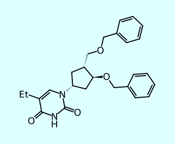 CCc1cn([C@@H]2C[C@H](COCc3ccccc3)[C@@H](OCc3ccccc3)C2)c(=O)[nH]c1=O